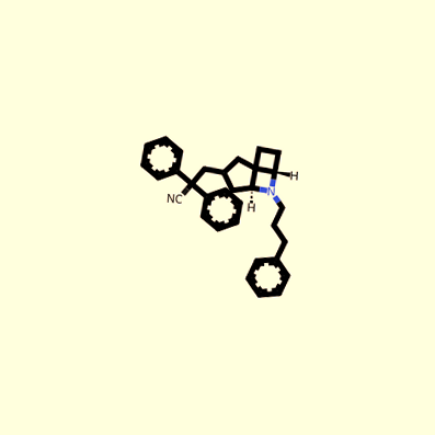 N#CC(CC1C[C@@H]2N(CCCc3ccccc3)[C@H]3CCC32C1)(c1ccccc1)c1ccccc1